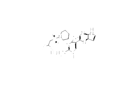 CC(C)CS(=O)(=O)N1CCC[C@H](C2(N)N=C(N)NC=C2c2cnc3[nH]ccc3n2)C1